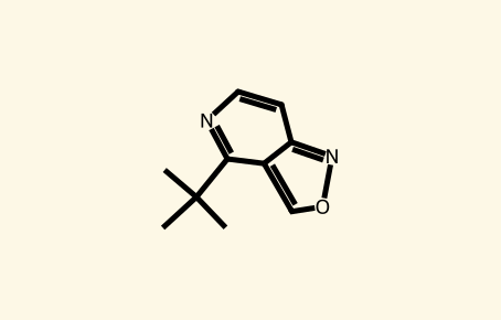 CC(C)(C)c1nccc2nocc12